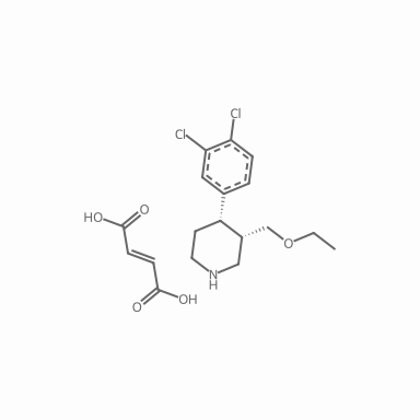 CCOC[C@@H]1CNCC[C@@H]1c1ccc(Cl)c(Cl)c1.O=C(O)C=CC(=O)O